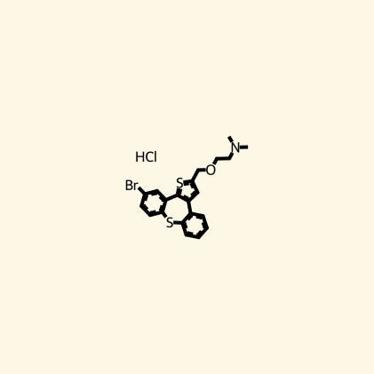 CN(C)CCOCc1cc2c(s1)-c1cc(Br)ccc1Sc1ccccc1-2.Cl